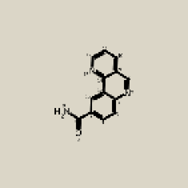 NC(=O)c1ccc2ncc3cccnc3c2c1